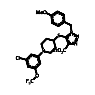 CCOC(=O)c1nnn(Cc2ccc(OC)cc2)c1SC1CCN(c2cc(Cl)cc(OC(F)(F)F)c2)CC1